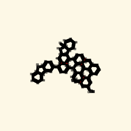 CC(C)(C)c1cc(-c2cccc3cccc(-c4ccccc4N(c4ccc(-c5ccc6oc7ccccc7c6c5)cc4)c4ccccc4-c4cccc5c4C4C=CC=CC4(C)O5)c23)cc(C(C)(C)C)c1